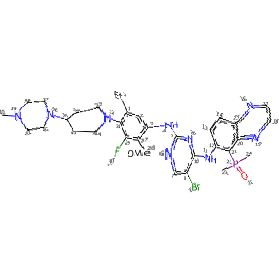 CCc1cc(Nc2ncc(Br)c(Nc3ccc4nccnc4c3P(C)(C)=O)n2)c(OC)c(F)c1N1CCC(N2CCN(C)CC2)CC1